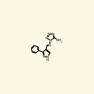 Nc1nnnn1/N=C/c1c[nH]nc1-c1ccccc1